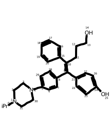 CC(C)N1CCN(c2ccc(/C(=C(/CCCO)c3cc#ccc3)c3ccc(O)cc3)cc2)CC1